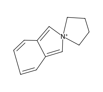 C1=c2ccccc2=C[N+]12CCCC2